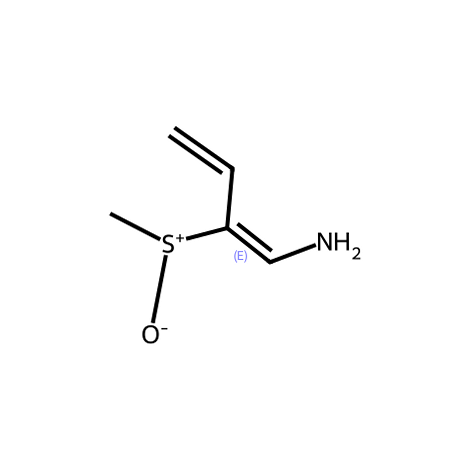 C=C/C(=C\N)[S+](C)[O-]